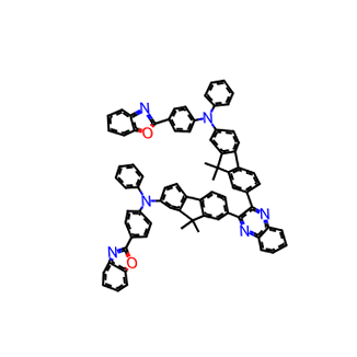 CC1(C)c2cc(-c3nc4ccccc4nc3-c3ccc4c(c3)C(C)(C)c3cc(N(c5ccccc5)c5ccc(-c6nc7ccccc7o6)cc5)ccc3-4)ccc2-c2ccc(N(c3ccccc3)c3ccc(-c4nc5ccccc5o4)cc3)cc21